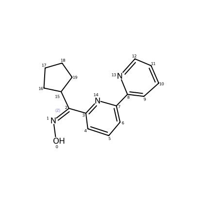 O/N=C(\c1cccc(-c2ccccn2)n1)C1CCCC1